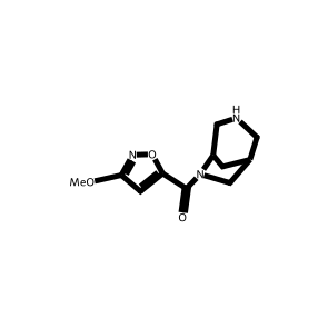 COc1cc(C(=O)N2CC3CNCC2C3)on1